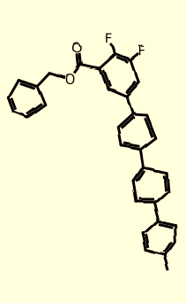 Cc1ccc(-c2ccc(-c3ccc(-c4cc(F)c(F)c(C(=O)OCc5ccccc5)c4)cc3)cc2)cc1